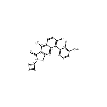 COc1cccc(-c2c(F)ccc3c(N)c4c(nc23)CN(C2=CC=C2)C4=O)c1F